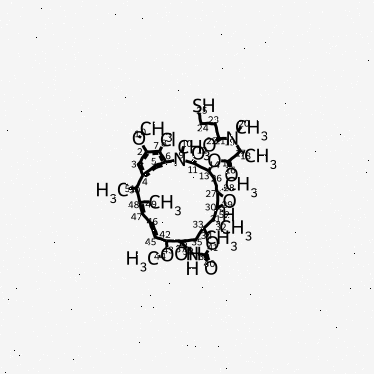 COc1cc2cc(c1Cl)N(C)C(=O)C(OC(=O)[C@H](C)N(C)C(=O)CCS)C[C@@]1(C)O[C@H]1[C@H](C)[C@]1(C)C[C@@](O)(NC(=O)O1)C(OC)/C=C/C=C(\C)C2C